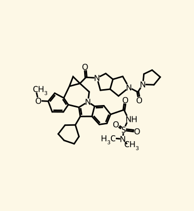 COc1ccc2c(c1)C1CC1(C(=O)N1CC3CN(C(=O)N4CCCC4)CC3C1)Cn1c-2c(C2CCCCC2)c2ccc(C(=O)NS(=O)(=O)N(C)C)cc21